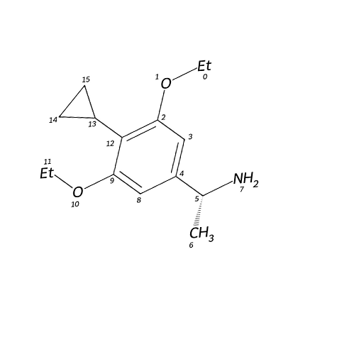 CCOc1cc([C@@H](C)N)cc(OCC)c1C1CC1